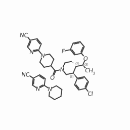 C[C@H](Oc1cccc(F)c1)[C@H]1CCN(C(=O)C2CCN(c3ccc(C#N)cn3)CC2)C[C@@H]1c1ccc(Cl)cc1.N#Cc1ccc(N2CCCCC2)nc1